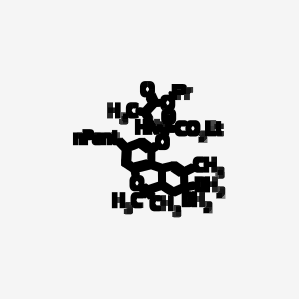 BC1(B)CC2C(C=C1C)c1c(cc(CCCCC)cc1OP(=O)(NC(C)C(=O)OC(C)C)C(=O)OCC)OC2(C)C